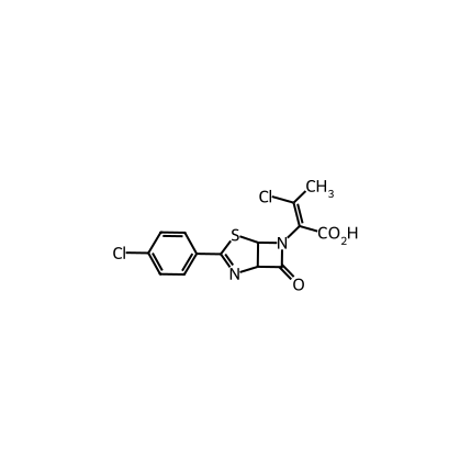 CC(Cl)=C(C(=O)O)N1C(=O)C2N=C(c3ccc(Cl)cc3)SC21